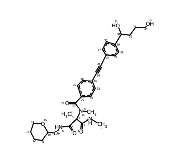 CNC(=O)[C@@](C)(C(=O)NOC1CCCCO1)N(C)C(=O)c1ccc(C#Cc2ccc(C(O)CCCO)cc2)cc1